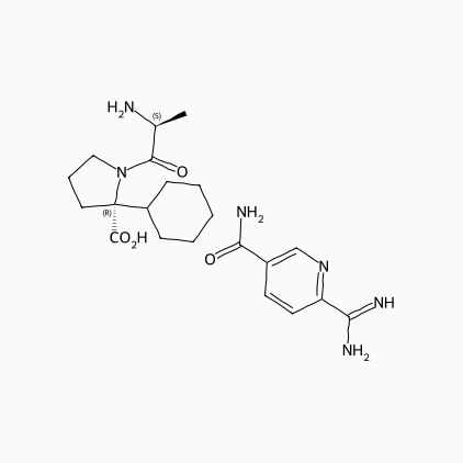 C[C@H](N)C(=O)N1CCC[C@]1(C(=O)O)C1CCCCC1.N=C(N)c1ccc(C(N)=O)cn1